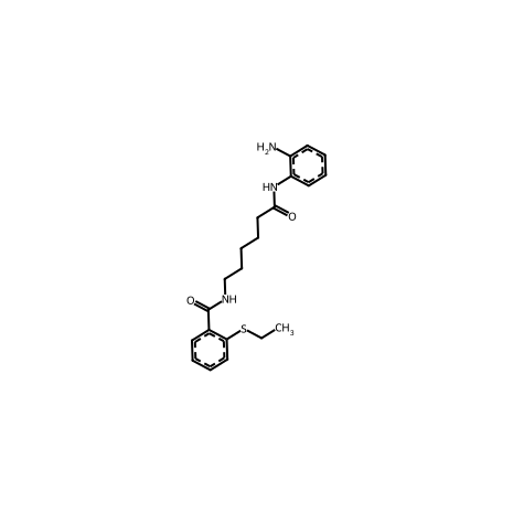 CCSc1ccccc1C(=O)NCCCCCC(=O)Nc1ccccc1N